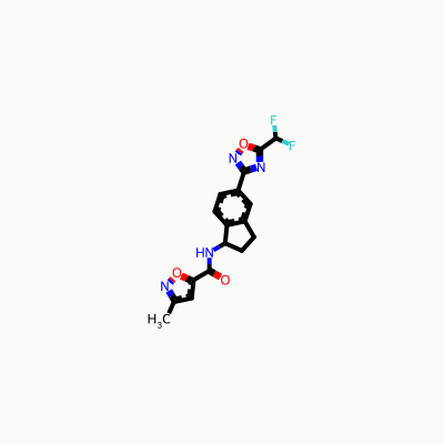 Cc1cc(C(=O)NC2CCc3cc(-c4noc(C(F)F)n4)ccc32)on1